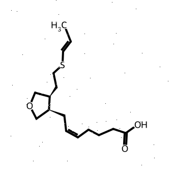 CC=CSCC[C@@H]1COC[C@@H]1C/C=C\CCCC(=O)O